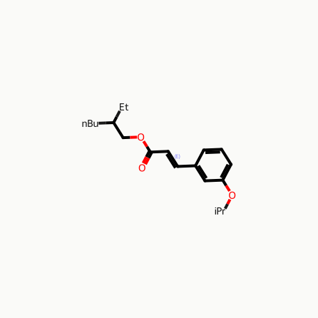 CCCCC(CC)COC(=O)/C=C/c1cccc(OC(C)C)c1